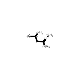 C=C=C(CC(N)CCC)NC